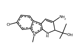 Cn1c2c(c3ccc(Cl)cc31)C=C(N)C(C(C)(C)O)N2